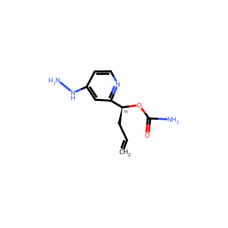 C=CC[C@H](OC(N)=O)c1cc(NN)ccn1